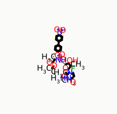 COC1(C)NC(=O)C=CN1[C@@H]1O[C@H](COP(=O)(N[C@@H](C)C(=O)OC(C)C)Oc2ccc(-c3ccc([N+](=O)[O-])cc3)cc2)[C@@H](O)[C@@]1(C)F